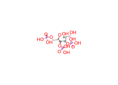 O=C(COP(=O)(O)O)[C@H](OP(=O)(O)O)[C@@H](OP(=O)(O)O)[C@H](O)CO